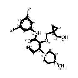 CN1CCN(/C(C=N)=C(\OCC2(CO)CC2)C(=O)Nc2cc(F)cc(F)c2)CC1